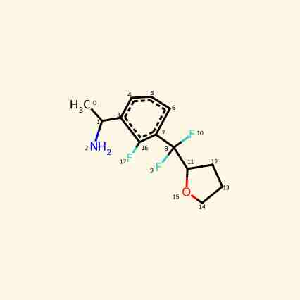 CC(N)c1cccc(C(F)(F)C2CCCO2)c1F